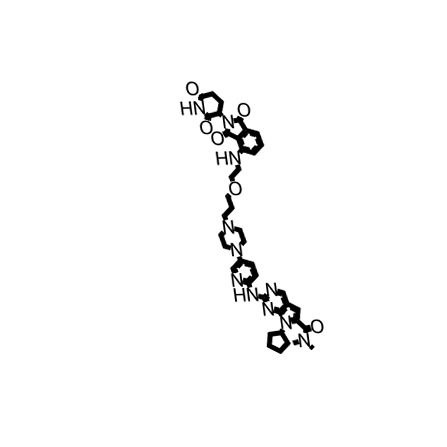 CN(C)C(=O)c1cc2cnc(Nc3ccc(N4CCN(CCCOCCNc5cccc6c5C(=O)N(C5CCC(=O)NC5=O)C6=O)CC4)cn3)nc2n1C1CCCC1